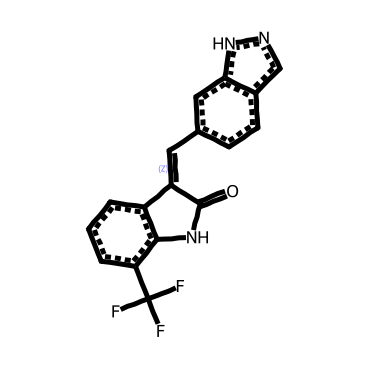 O=C1Nc2c(cccc2C(F)(F)F)/C1=C/c1ccc2cn[nH]c2c1